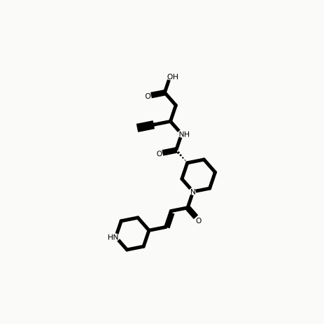 C#CC(CC(=O)O)NC(=O)[C@@H]1CCCN(C(=O)/C=C/C2CCNCC2)C1